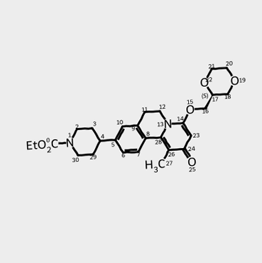 CCOC(=O)N1CCC(c2ccc3c(c2)CCn2c(OC[C@@H]4COCCO4)cc(=O)c(C)c2-3)CC1